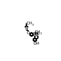 CCC1CN(CCOc2ccc([C@H]3c4ccc(O)cc4CCN3S(C)(=O)=O)cc2)C1